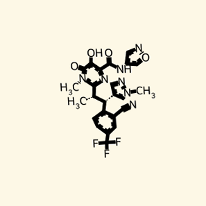 C[C@H](c1nc(C(=O)Nc2cnoc2)c(O)c(=O)n1C)[C@H](c1cnn(C)c1)c1ccc(C(F)(F)F)cc1C#N